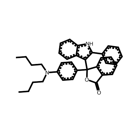 CCCCN(CCCC)c1ccc(C2(c3c(-c4ccccc4)[nH]c4ccccc34)OC(=O)c3ccccc32)cc1